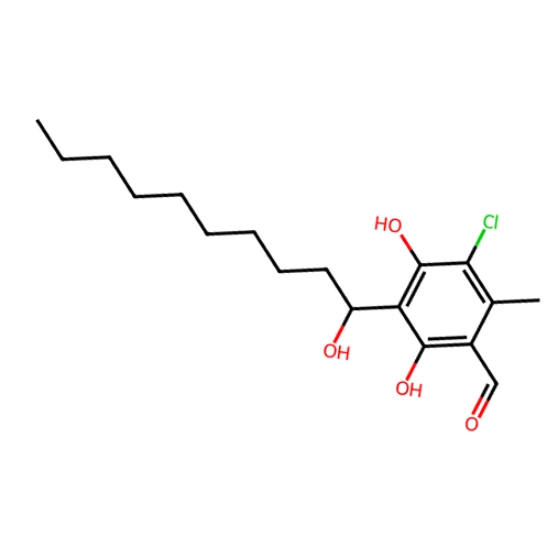 CCCCCCCCCC(O)c1c(O)c(Cl)c(C)c(C=O)c1O